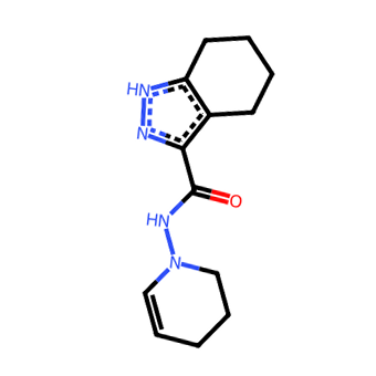 O=C(NN1C=CCCC1)c1n[nH]c2c1CCCC2